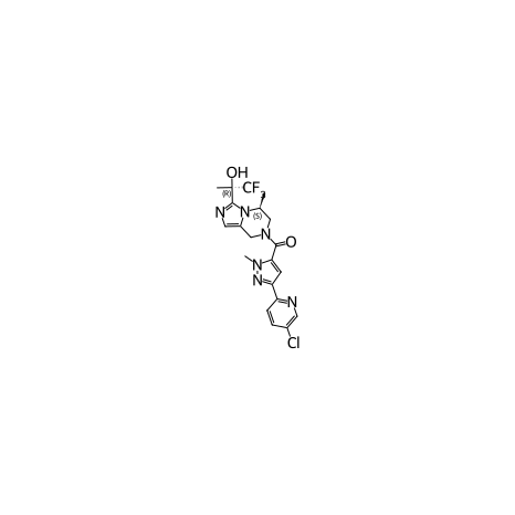 C[C@H]1CN(C(=O)c2cc(-c3ccc(Cl)cn3)nn2C)Cc2cnc([C@@](C)(O)C(F)(F)F)n21